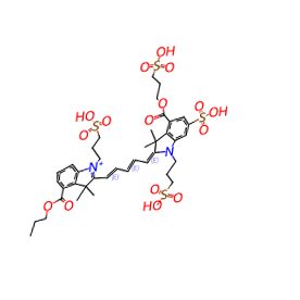 CCCOC(=O)c1cccc2c1C(C)(C)C(/C=C/C=C/C=C1/N(CCCS(=O)(=O)O)c3cc(S(=O)(=O)O)cc(C(=O)OCCCS(=O)(=O)O)c3C1(C)C)=[N+]2CCCS(=O)(=O)O